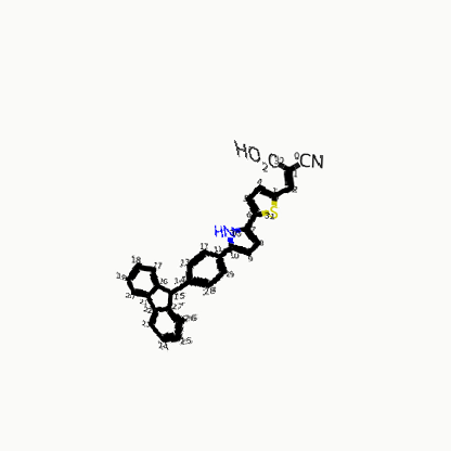 N#C/C(=C/c1ccc(-c2ccc(-c3ccc(C4c5ccccc5-c5ccccc54)cc3)[nH]2)s1)C(=O)O